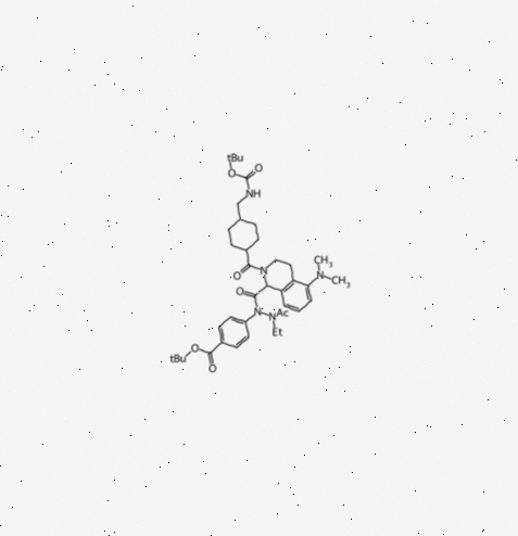 CCN(C(C)=O)N(C(=O)C1c2cccc(N(C)C)c2CCN1C(=O)C1CCC(CNC(=O)OC(C)(C)C)CC1)c1ccc(C(=O)OC(C)(C)C)cc1